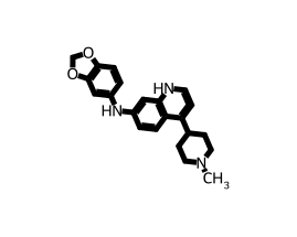 CN1CCC(C2=C=CNc3cc(Nc4ccc5c(c4)OCO5)ccc32)CC1